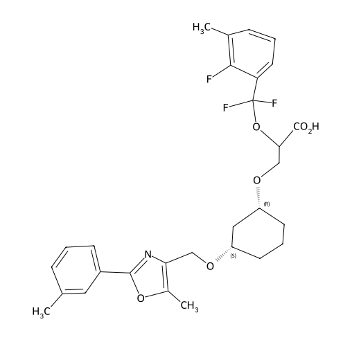 Cc1cccc(-c2nc(CO[C@H]3CCC[C@@H](OCC(OC(F)(F)c4cccc(C)c4F)C(=O)O)C3)c(C)o2)c1